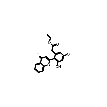 CCOC(=O)Cc1cc(O)cc(O)c1-c1cc(=O)c2ccccc2o1